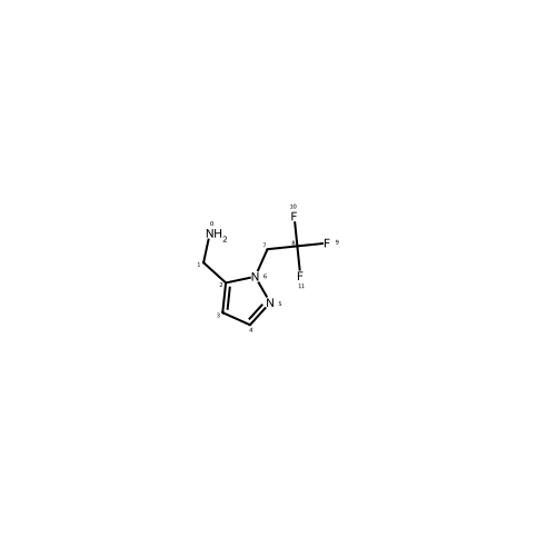 NCc1ccnn1CC(F)(F)F